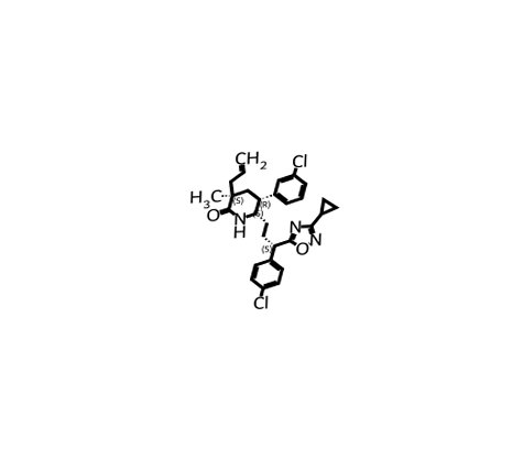 C=CC[C@@]1(C)C[C@H](c2cccc(Cl)c2)[C@H](CC[C@@H](c2ccc(Cl)cc2)c2nc(C3CC3)no2)NC1=O